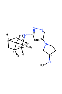 CN[C@@H]1CCN(c2cnnc(N[C@H]3C[C@@H]4C[C@@H]([C@H]3C)C4(C)C)c2)C1